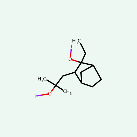 CCC1(OI)C2CCC(C2)C1CC(C)(C)OI